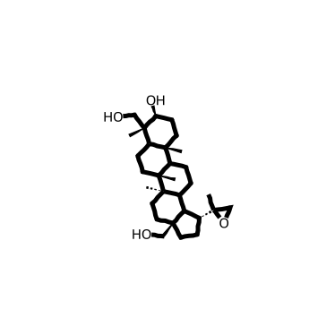 CC1([C@@H]2CC[C@]3(CO)CC[C@]4(C)C(CCC5[C@@]6(C)CC[C@H](O)[C@@](C)(CO)C6CC[C@]54C)C23)CO1